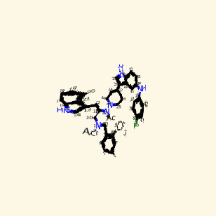 CC(=O)N(Cc1ccccc1C(F)(F)F)C[C@@H](Cc1c[nH]c2ccccc12)N(C(C)=O)N1CCC(c2c[nH]c3ccc(Nc4ccc(F)cc4)cc23)CC1